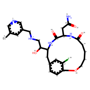 CCc1cncc(CNCC(O)C2Cc3ccc(c(F)c3)OCCCCC(=O)NC(CC(N)=O)C(=O)N2)c1